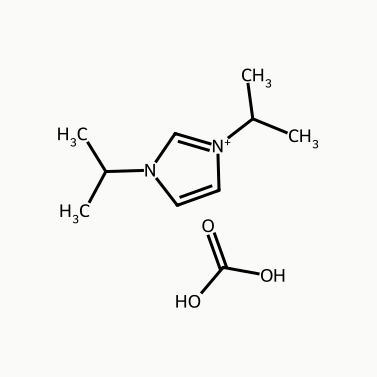 CC(C)n1cc[n+](C(C)C)c1.O=C(O)O